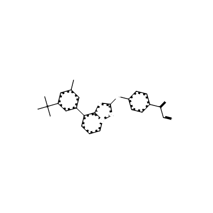 Cc1cc(-c2cccn3nc(Nc4ccc(C(=O)C=O)cc4)nc23)cc(C(C)(C)C)c1